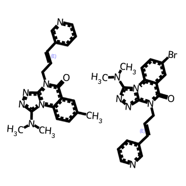 CN(C)c1nnc2n(C/C=C/c3cccnc3)c(=O)c3cc(Br)ccc3n12.Cc1ccc2c(c1)c(=O)n(C/C=C/c1cccnc1)c1nnc(N(C)C)n21